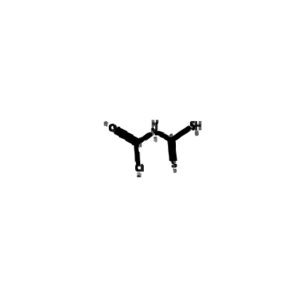 O=C(Cl)NC(=S)S